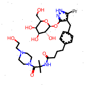 CC(C)c1[nH]nc(O[C@@H]2O[C@H](CO)[C@H](O)[C@H](O)[C@H]2O)c1Cc1ccc(CCCC(=O)NC(C)(C)C(=O)N2CCN(CCO)CC2)cc1